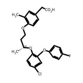 Cc1cc(CC(=O)O)ccc1OCC[C@@H](C)Oc1ccc(Cl)cc1Oc1ccc(F)cc1